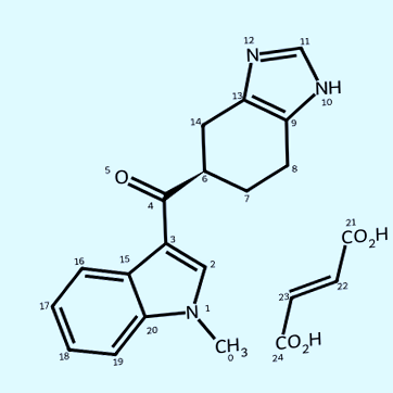 Cn1cc(C(=O)[C@@H]2CCc3[nH]cnc3C2)c2ccccc21.O=C(O)/C=C/C(=O)O